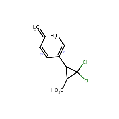 C=C/C=C\C(=C/C)C1C(C(=O)O)C1(Cl)Cl